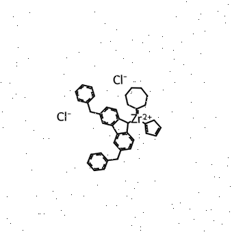 C1=CC[C]([Zr+2](=[C]2CCCCCC2)[CH]2c3ccc(Cc4ccccc4)cc3-c3cc(Cc4ccccc4)ccc32)=C1.[Cl-].[Cl-]